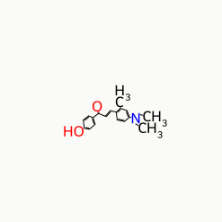 CCN(CC)c1ccc(C=CC(=O)c2ccc(O)cc2)c(C)c1